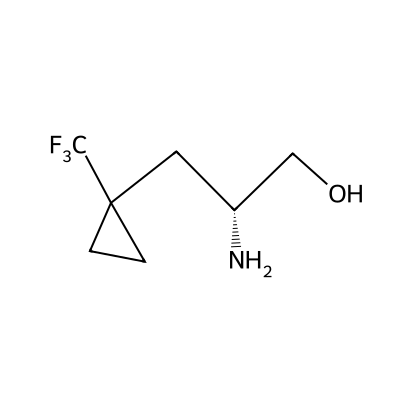 N[C@@H](CO)CC1(C(F)(F)F)CC1